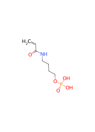 C=CC(=O)NCCCCOP(=O)(O)O